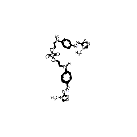 CCN(CCOS(=O)(=O)OCCN(CC)c1ccc(/N=N/c2snc[n+]2C)cc1)c1ccc(/N=N/c2snc[n+]2C)cc1